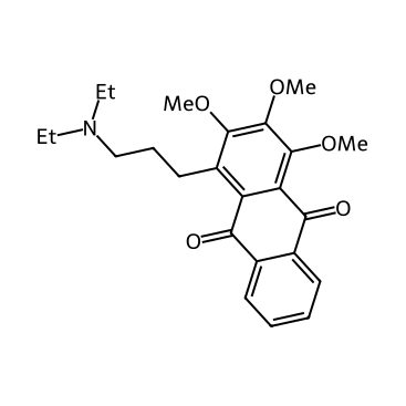 CCN(CC)CCCc1c(OC)c(OC)c(OC)c2c1C(=O)c1ccccc1C2=O